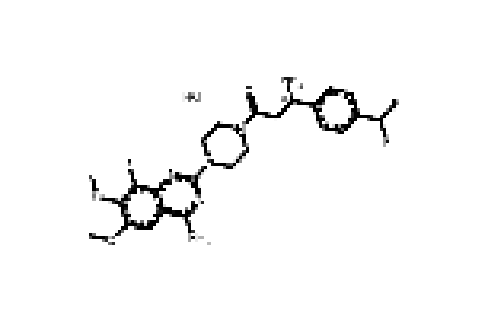 COc1cc2c(N)nc(N3CCN(C(=O)C[C@@H](N)c4ccc(C(F)F)cc4)CC3)nc2c(F)c1OC.Cl